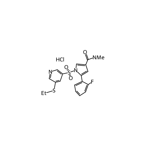 CCSc1cncc(S(=O)(=O)n2cc(C(=O)NC)cc2-c2ccccc2F)c1.Cl